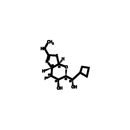 CNC1=N[C@@H]2[C@@H](F)[C@H](O)[C@@H]([C@@H](O)C3CCC3)O[C@@H]2S1